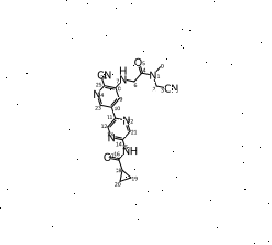 CN(CC#N)C(=O)CNc1cc(-c2cnc(NC(=O)C3CC3)cn2)cnc1C#N